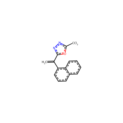 C=C(c1nnc(C(Cl)(Cl)Cl)o1)c1cccc2ccccc12